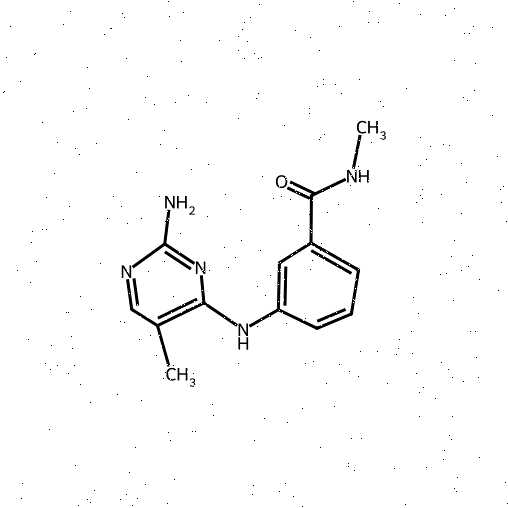 CNC(=O)c1cccc(Nc2nc(N)ncc2C)c1